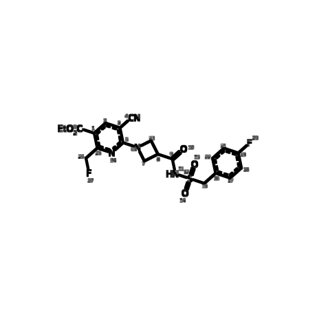 CCOC(=O)c1cc(C#N)c(N2CC(C(=O)NS(=O)(=O)Cc3ccc(F)cc3)C2)nc1CF